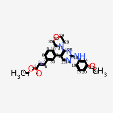 CCOC(=O)/C=C/c1cccc(-c2cnc(Nc3cccc(OC)c3)nc2N2CCOCC2)c1